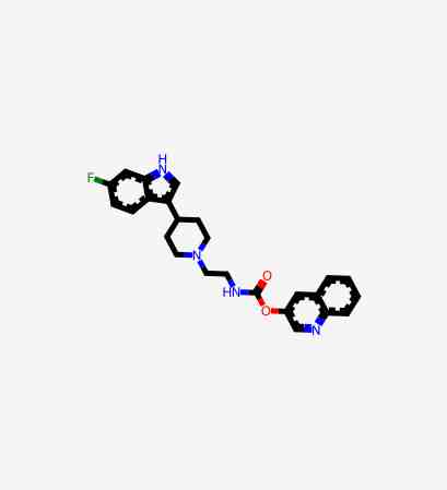 O=C(NCCN1CCC(c2c[nH]c3cc(F)ccc23)CC1)Oc1cnc2ccccc2c1